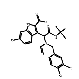 CC(C)(C)NC(=O)C(c1c(C(=O)O)[nH]c2cc(Cl)ccc12)N(C=O)Cc1ccc(Cl)c(Cl)c1